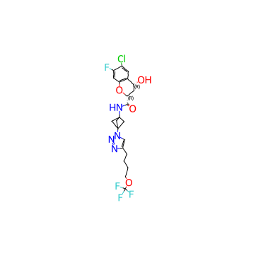 O=C(NC12CC(n3cc(CCCCOC(F)(F)F)nn3)(C1)C2)[C@H]1C[C@@H](O)c2cc(Cl)c(F)cc2O1